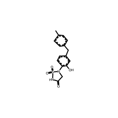 Cc1ccc(Cc2ccc(N3CC(=O)NS3(=O)=O)c(O)c2)cc1